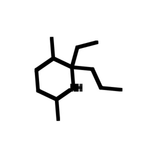 CCCC1(CC)NC(C)CCC1C